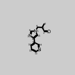 CC(C=O)Cn1cnc(-c2cccnc2)c1